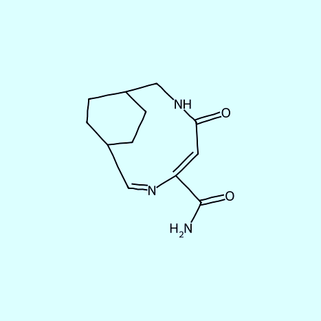 NC(=O)C1=CC(=O)NCC2CCC(C=N1)CC2